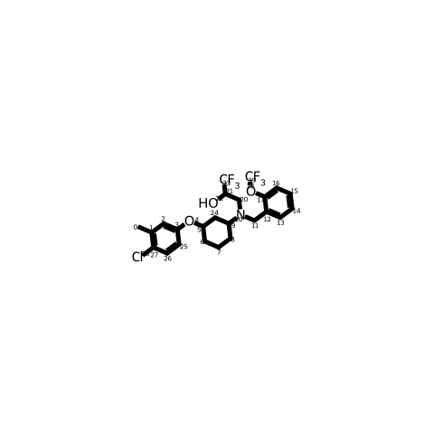 Cc1cc(OC2CCCC(N(Cc3ccccc3OC(F)(F)F)CC(O)C(F)(F)F)C2)ccc1Cl